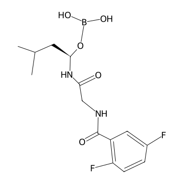 CC(C)C[C@H](NC(=O)CNC(=O)c1cc(F)ccc1F)OB(O)O